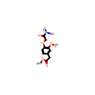 CCCOC(=O)Cc1ccc(OCC(=O)N(CC)CCC)c(OCCC)c1